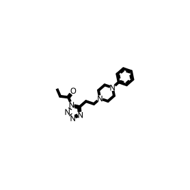 CCC(=O)n1nnnc1CCN1CCN(c2ccccc2)CC1